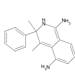 CC1=c2c(N)cccc2=C(N)NC1(C)c1ccccc1